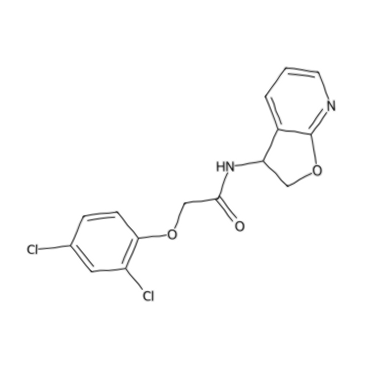 O=C(COc1ccc(Cl)cc1Cl)NC1COc2ncccc21